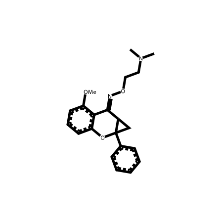 COc1cccc2c1C(=NOCCN(C)C)C1CC1(c1ccccc1)O2